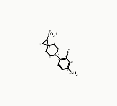 Nc1ccc(N2CCC3(CC2)CC3C(=O)O)c(F)c1